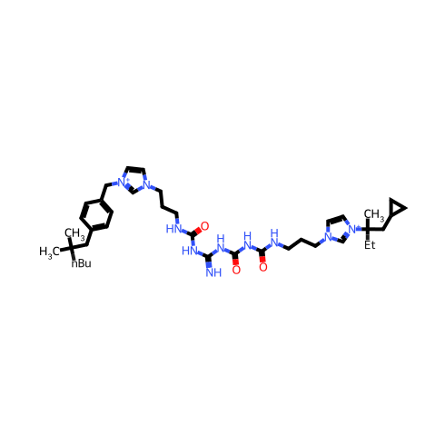 CCCCC(C)(C)Cc1ccc(C[n+]2ccn(CCCNC(=O)NC(=N)NC(=O)NC(=O)NCCCn3cc[n+](C(C)(CC)CC4CC4)c3)c2)cc1